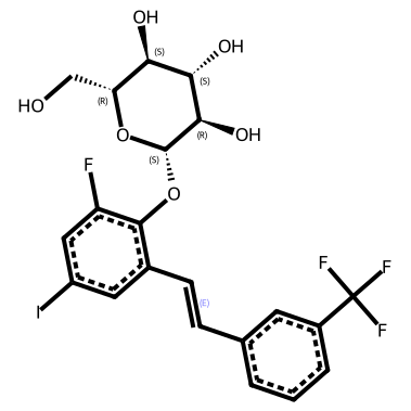 OC[C@H]1O[C@@H](Oc2c(F)cc(I)cc2/C=C/c2cccc(C(F)(F)F)c2)[C@H](O)[C@@H](O)[C@@H]1O